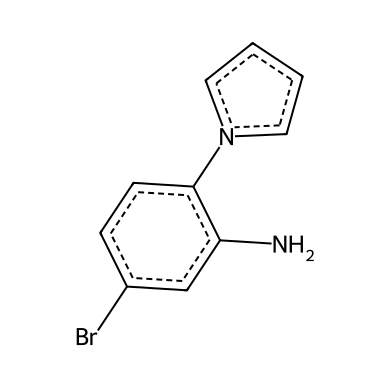 Nc1cc(Br)ccc1-n1cccc1